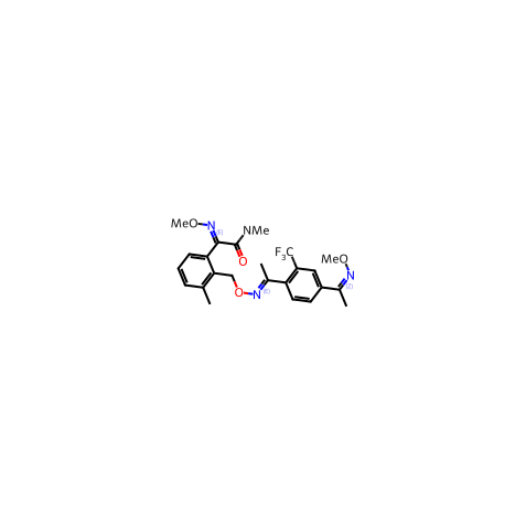 CNC(=O)/C(=N/OC)c1cccc(C)c1CO/N=C(\C)c1ccc(/C(C)=N\OC)cc1C(F)(F)F